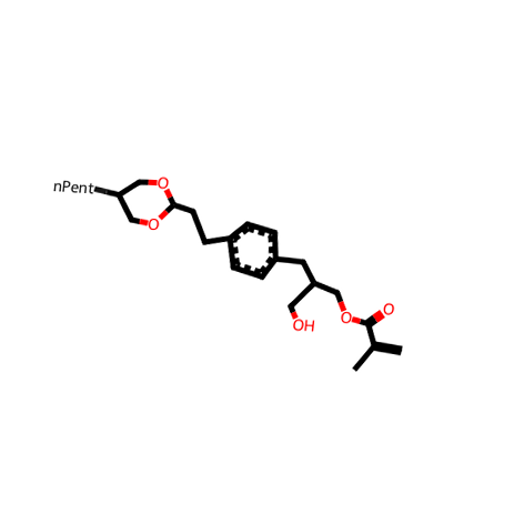 C=C(C)C(=O)OCC(CO)Cc1ccc(CCC2OCC(CCCCC)CO2)cc1